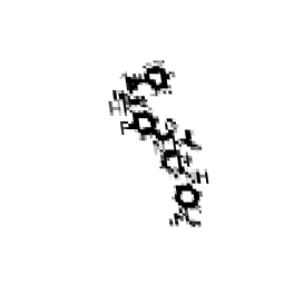 CC(C)n1c(=O)c(-c2ccc(NS(=O)(=O)[C@@H]3C[C@H]3c3ccccc3)c(F)c2)nc2cnc(N[C@H]3CC[C@H](N(C)C)CC3)nc21